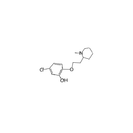 CN1CCCCC1CCOc1ccc(Cl)cc1O